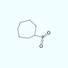 O=P(=O)C1CCCCCC1